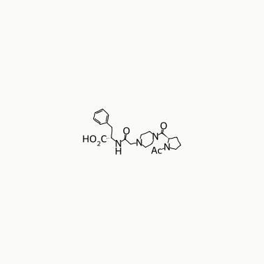 CC(=O)N1CCC[C@@H]1C(=O)N1CCN(CC(=O)N[C@@H](Cc2ccccc2)C(=O)O)CC1